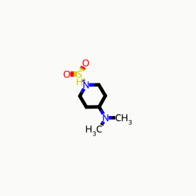 CN(C)C1CCN([SH](=O)=O)CC1